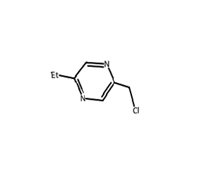 CCc1cnc(CCl)cn1